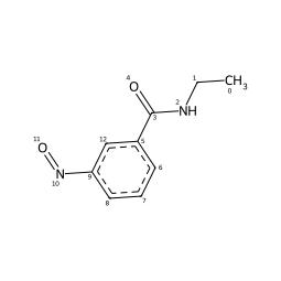 CCNC(=O)c1cccc(N=O)c1